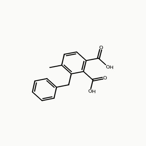 Cc1ccc(C(=O)O)c(C(=O)O)c1Cc1ccccc1